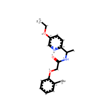 CC(NC(=O)COc1ccccc1C(C)(C)C)c1ccc(OCC(F)(F)F)cn1